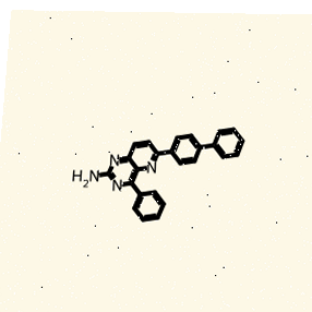 Nc1nc(-c2ccccc2)c2nc(-c3ccc(-c4ccccc4)cc3)ccc2n1